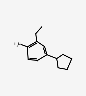 CCc1cc(C2CCCC2)[c]cc1N